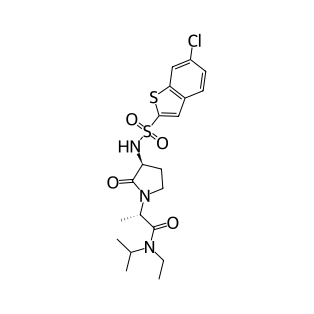 CCN(C(=O)[C@H](C)N1CC[C@H](NS(=O)(=O)c2cc3ccc(Cl)cc3s2)C1=O)C(C)C